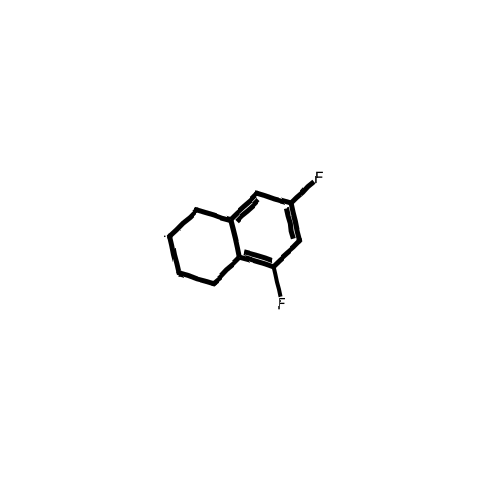 Fc1cc(F)c2c(c1)C[CH]CC2